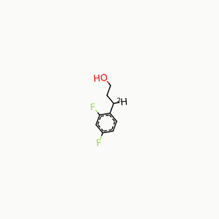 [2H]C(CCO)c1ccc(F)cc1F